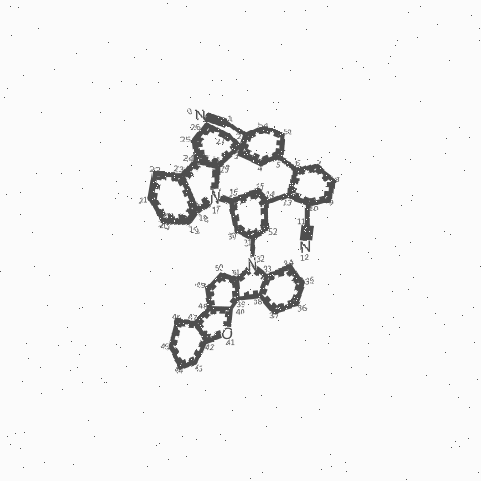 N#Cc1ccc(-c2cccc(C#N)c2-c2cc(-n3c4ccccc4c4ccccc43)cc(-n3c4ccccc4c4c5oc6ccccc6c5ccc43)c2)cc1